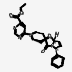 CCOC(=O)c1cc(N2CCC3(CC2)O[C@@H]2CC[C@@H](c4ccccc4)N2C3=O)ncn1